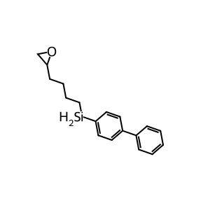 c1ccc(-c2ccc([SiH2]CCCCC3CO3)cc2)cc1